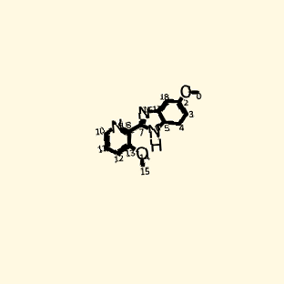 COC1=CCC2NC(c3ncccc3OC)=NC2=C1